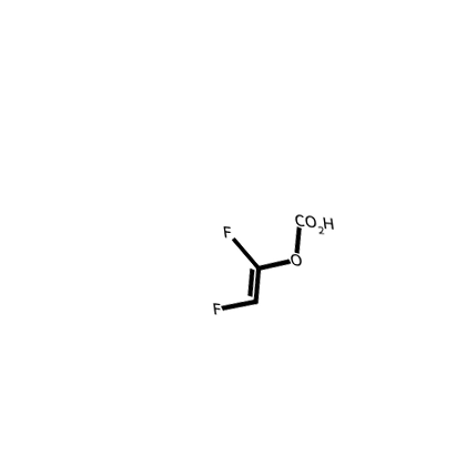 O=C(O)OC(F)=CF